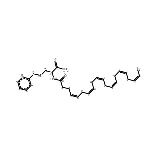 CC/C=C\C/C=C\C/C=C\C/C=C\C/C=C\C/C=C\CCC(=O)N[C@@H](CSSc1ccccn1)C(N)=O